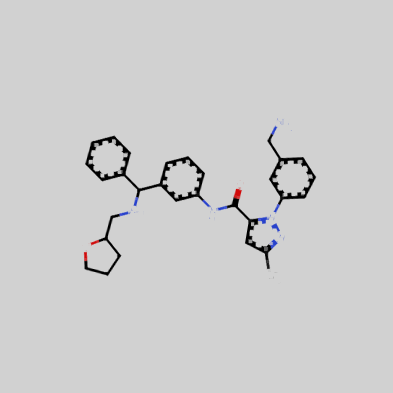 NCc1cccc(-n2nc(C(F)(F)F)cc2C(=O)Nc2cccc(C(NCC3CCCO3)c3ccccc3)c2)c1